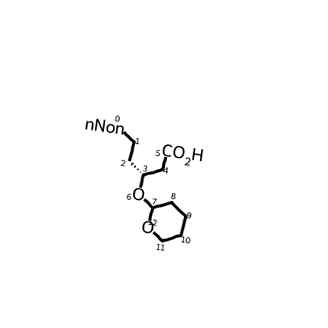 CCCCCCCCCCC[C@H](CC(=O)O)OC1CCCCO1